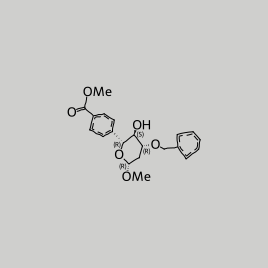 COC(=O)c1ccc([C@H]2O[C@@H](OC)C[C@@H](OCc3ccccc3)[C@@H]2O)cc1